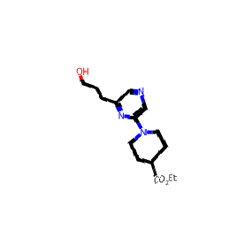 CCOC(=O)C1CCN(c2cncc(CCCO)n2)CC1